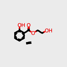 C=C.O=C(OCCO)c1ccccc1O